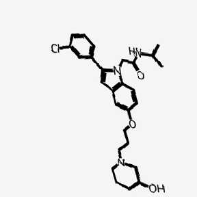 CC(C)NC(=O)Cn1c(-c2cccc(Cl)c2)cc2cc(OCCCN3CCCC(O)C3)ccc21